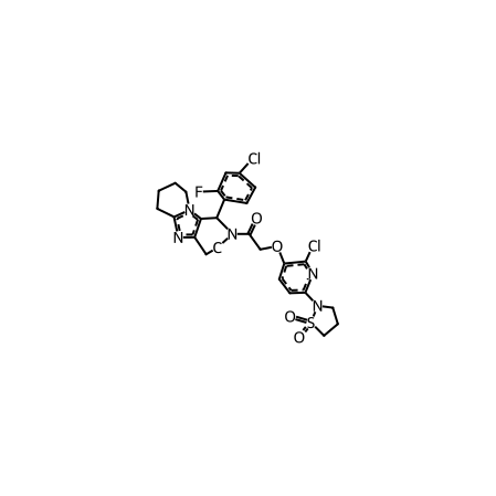 O=C(COc1ccc(N2CCCS2(=O)=O)nc1Cl)N1CCc2nc3n(c2C1c1ccc(Cl)cc1F)CCCC3